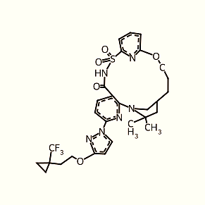 CC1(C)CC2CCCOc3cccc(n3)S(=O)(=O)NC(=O)c3ccc(-n4ccc(OCCC5(C(F)(F)F)CC5)n4)nc3N1C2